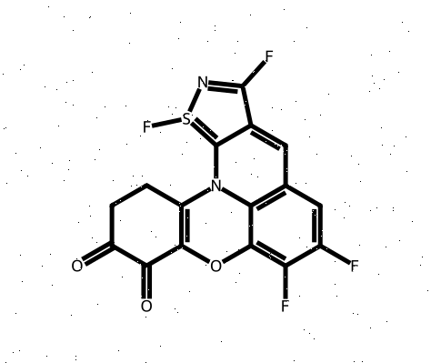 O=C1CCc2c(oc3c(F)c(F)cc4cc5c(n2-c43)=S(F)N=C5F)C1=O